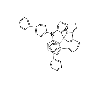 c1ccc(-c2ccc(N(c3ccc(-c4ccccc4)cc3)c3ccccc3C34c5ccccc5-c5cccc(c53)-c3ccccc34)cc2)cc1